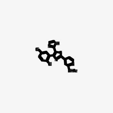 CC(=O)Nc1cc(-c2nc(-c3cc(Cl)ccc3Cl)c(-c3ncc[nH]3)s2)ccn1